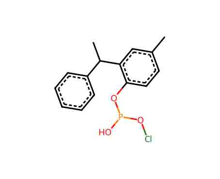 Cc1ccc(OP(O)OCl)c(C(C)c2ccccc2)c1